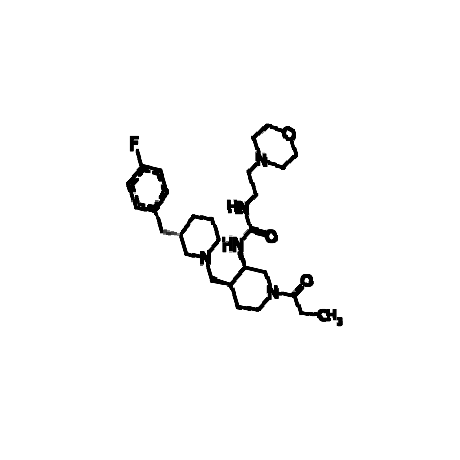 CCC(=O)N1CC[C@@H](CN2CCC[C@@H](Cc3ccc(F)cc3)C2)[C@@H](NC(=O)NCCN2CCOCC2)C1